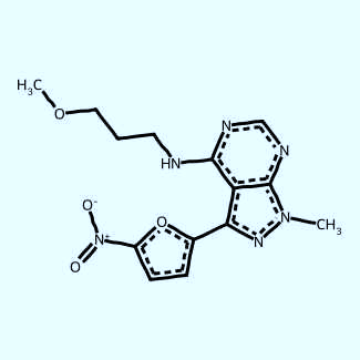 COCCCNc1ncnc2c1c(-c1ccc([N+](=O)[O-])o1)nn2C